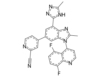 Cc1nnc(-c2cc(-c3ccnc(C#N)c3)cc3c2nc(C)n3-c2ccnc3c(F)ccc(F)c23)[nH]1